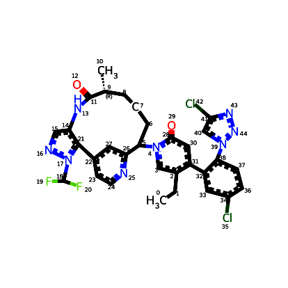 CCc1cn(C2CCC[C@@H](C)C(=O)Nc3cnn(C(F)F)c3-c3ccnc2c3)c(=O)cc1-c1cc(Cl)ccc1-n1cc(Cl)nn1